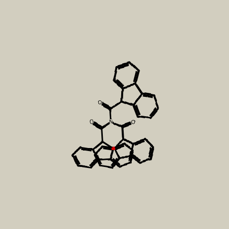 O=C(C1c2ccccc2-c2ccccc21)N(C(=O)C1c2ccccc2-c2ccccc21)C(=O)C1c2ccccc2-c2ccccc21